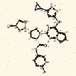 O=C(Nc1ccc(F)nc1)[C@@H]1C[C@H](N2CC(Cl)C=N2)CN1c1nc(Nc2cc(C3CC3)[nH]n2)c2cccn2n1